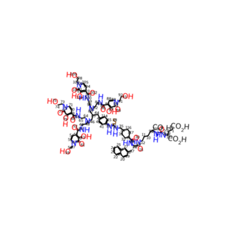 O=C(O)CC[C@H](NC(=O)N[C@@H](CCCCNC(=O)[C@H](Cc1ccc2ccccc2c1)NC(=O)C1CCC(CNC(=S)Nc2ccc(CC(CN(CCNC(=O)c3ccn(CCO)c(=O)c3O)CCNC(=O)c3ccn(CCO)c(=O)c3O)CN(CCNC(=O)c3ccn(CCO)c(=O)c3O)CCNC(=O)c3ccn(CCO)c(=O)c3O)cc2)CC1)C(=O)O)C(=O)O